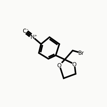 [C-]#[N+]c1ccc(C2(CBr)OCCO2)cc1